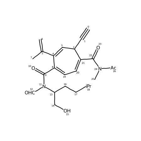 C#CC1C=C(C(=C)C)C(C(=O)N(C=O)C(CO)CCC(C)C)=CC=C1C(=O)N(C)C(C)=O